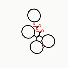 O=C(OC(=O)C(=C(C1CCCCCCCCCCC1)C1CCCCCCCCCCC1)C1CCCCCCCCCCC1)OC1CCCCCCCCCCC1